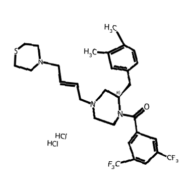 Cc1ccc(C[C@@H]2CN(CC=CCN3CCSCC3)CCN2C(=O)c2cc(C(F)(F)F)cc(C(F)(F)F)c2)cc1C.Cl.Cl